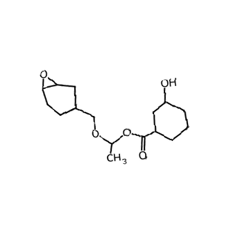 CC(OCC1CCC2OC2C1)OC(=O)C1CCCC(O)C1